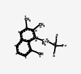 Cc1cc2cccc(O)c2[n+](C)c1C.F[B-](F)(F)F